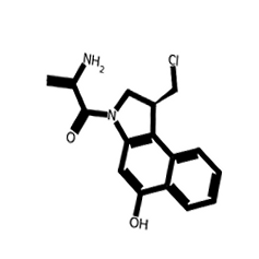 C=C(N)C(=O)N1C[C@@H](CCl)c2c1cc(O)c1ccccc21